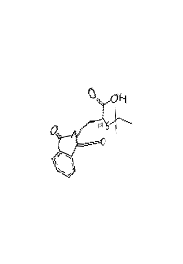 CC(C)(C)S[C@@H](CN1C(=O)c2ccccc2C1=O)C(=O)O